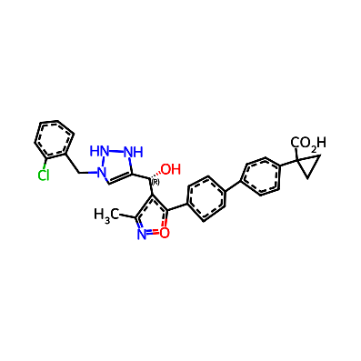 Cc1noc(-c2ccc(-c3ccc(C4(C(=O)O)CC4)cc3)cc2)c1[C@@H](O)C1=CN(Cc2ccccc2Cl)NN1